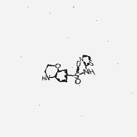 O=S(=O)(Nc1nccs1)c1ccc2c(c1)OCCN2